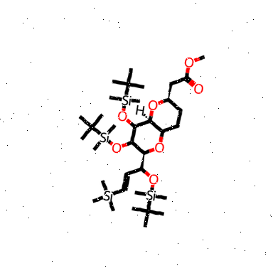 COC(=O)C[C@H]1CCC2O[C@@H](C(/C=C/[Si](C)(C)C)O[Si](C)(C)C(C)(C)C)C(O[Si](C)(C)C(C)(C)C)C(O[Si](C)(C)C(C)(C)C)[C@H]2O1